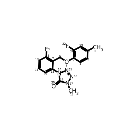 Cc1ccc(OCc2c(F)cccc2-n2nnn(C)c2=O)c(F)c1